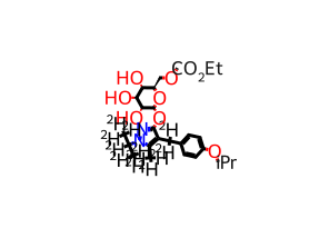 [2H]C([2H])([2H])c1c(C([2H])([2H])c2ccc(OC(C)C)cc2)c(O[C@@H]2O[C@H](COC(=O)OCC)[C@@H](O)[C@H](O)[C@H]2O)nn1C([2H])(C([2H])([2H])[2H])C([2H])([2H])[2H]